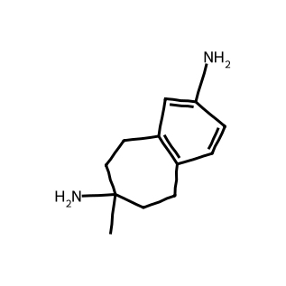 CC1(N)CCc2ccc(N)cc2CC1